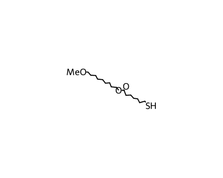 COCCCCCCCCCOC(=O)CCCCCCS